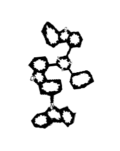 c1ccc(-c2nc(-c3cccc4oc5ccccc5c34)nc(-c3cccc4oc5cc(-n6c7ccccc7c7ccccc76)ccc5c34)n2)cc1